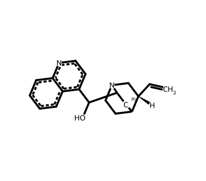 C=C[C@H]1CN2CCC1CC2C(O)c1ccnc2ccccc12